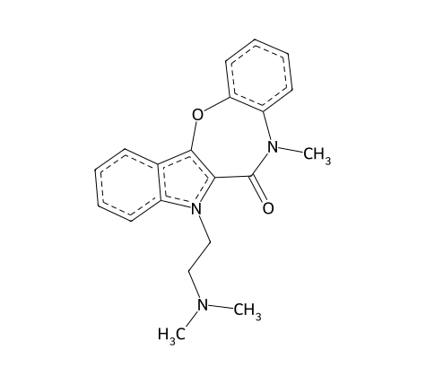 CN(C)CCn1c2c(c3ccccc31)Oc1ccccc1N(C)C2=O